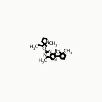 CCCC1(COc2nc(C)c3cnc(-c4cccc(C)c4Cl)c(F)c3n2)CCCN1C